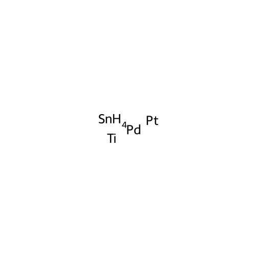 [Pd].[Pt].[SnH4].[Ti]